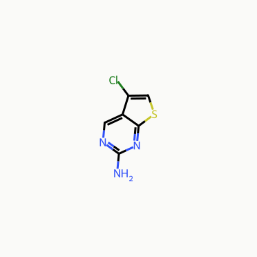 Nc1ncc2c(Cl)csc2n1